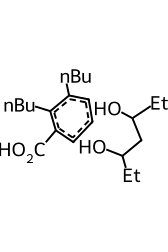 CCC(O)CC(O)CC.CCCCc1cccc(C(=O)O)c1CCCC